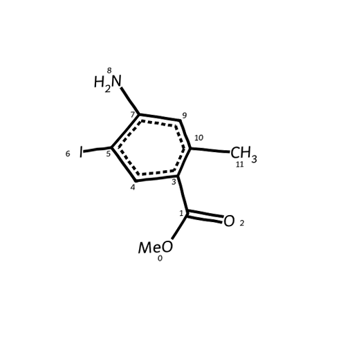 COC(=O)c1cc(I)c(N)cc1C